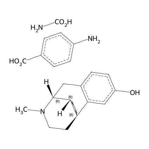 CN1CC[C@]23CCCC[C@H]2[C@H]1Cc1ccc(O)cc13.NC(=O)O.Nc1ccc(C(=O)O)cc1